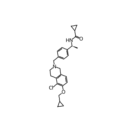 C[C@H](NC(=O)C1CC1)c1ccc(CN2CCc3c(ccc(OCC4CC4)c3Cl)C2)cc1